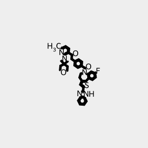 Cc1ccc(C(=O)Cc2ccc(C(=O)N3CCc4cc(-c5nc6ccccc6[nH]5)sc4-c4ccc(F)cc43)cc2)c(N2CC3(CCOCC3)C2)n1